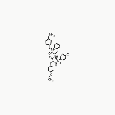 CCOc1ccc(CC(NS(=O)(=O)c2ccc(Cl)cc2)C(=O)NC(Cc2ccccc2)C(=O)NCc2ccc(CN)cc2)cc1